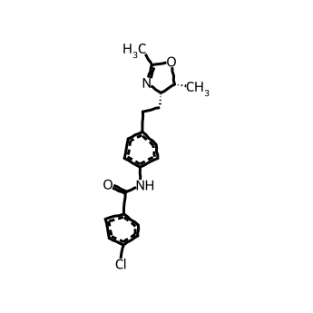 CC1=N[C@@H](CCc2ccc(NC(=O)c3ccc(Cl)cc3)cc2)[C@@H](C)O1